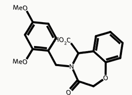 COc1ccc(CN2C(=O)COc3ccccc3C2C(=O)O)c(OC)c1